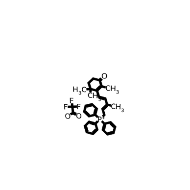 CC(C=CC1=C(C)C(=O)CCC1(C)C)=CC[P+](c1ccccc1)(c1ccccc1)c1ccccc1.O=C([O-])C(F)(F)F